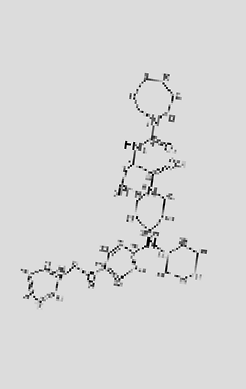 CC(C)CC(NC(=O)N1CCCCCC1)C(=O)N1CCC(N(c2ccc(OCc3ccccc3)cc2)C2CCCCC2)CC1